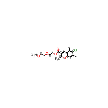 Cc1cc2c(c(C)c1Cl)C=C(C(=O)OCCOCCO[N+](=O)[O-])C(C(F)(F)F)O2